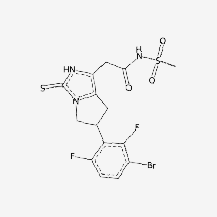 CS(=O)(=O)NC(=O)Cc1[nH]c(=S)n2c1CC(c1c(F)ccc(Br)c1F)C2